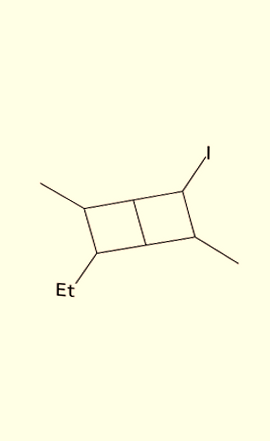 CCC1C(C)C2C(I)C(C)C12